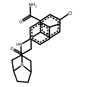 NC(=O)c1cc(Cl)ccc1OCC(=O)N1C2CCC1CC(Nc1ccc(F)cc1)C2